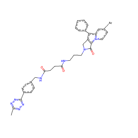 CC(=O)c1ccn2c3c(c(-c4ccccc4)c2c1)CN(CCCNC(=O)CCC(=O)NCc1ccc(-c2nnc(C)nn2)cc1)C3=O